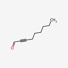 CCCCCCC#CC=O